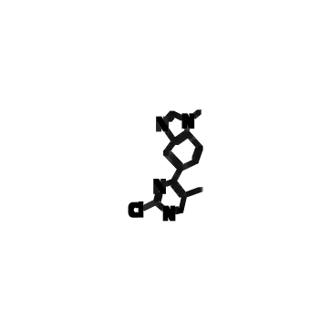 Cc1cnc(Cl)nc1-c1ccc2c(c1)ncn2C